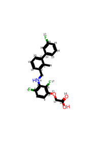 Cc1c(CNc2c(F)ccc(OCC(=O)O)c2F)cccc1-c1cccc(F)c1